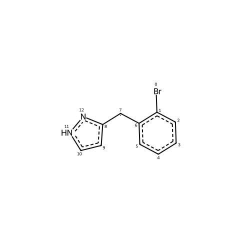 Brc1ccccc1[CH]c1cc[nH]n1